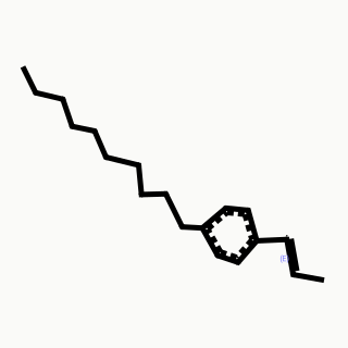 C/C=[C]/c1ccc(CCCCCCCCCC)cc1